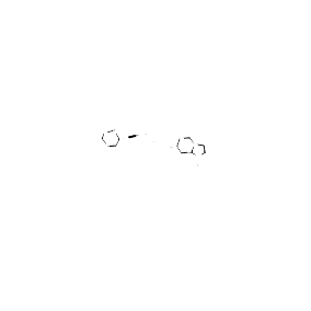 CCOC(=O)Cn1ccc2ccc(OCCCC#Cc3ccc(C(F)(F)F)cc3)cc21